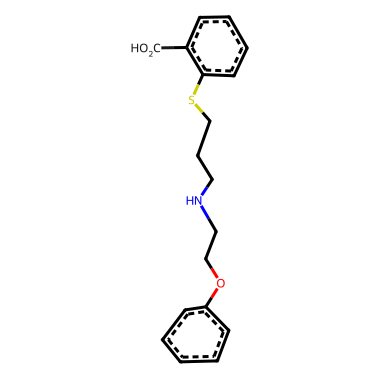 O=C(O)c1ccccc1SCCCNCCOc1ccccc1